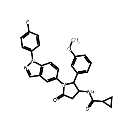 COc1cccc(C2C(NC(=O)C3CC3)CC(=O)N2c2ccc3c(cnn3-c3ccc(F)cc3)c2)c1